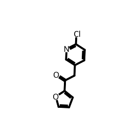 O=C(Cc1ccc(Cl)nc1)c1ccco1